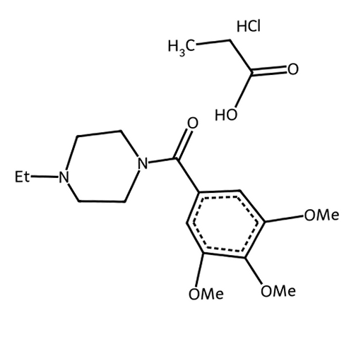 CCC(=O)O.CCN1CCN(C(=O)c2cc(OC)c(OC)c(OC)c2)CC1.Cl